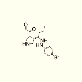 CCCC(NNc1ccc(Br)cc1)=C1CNCC1C(=O)C=O